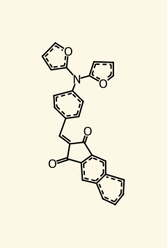 O=C1C(=Cc2ccc(N(c3ccco3)c3ccco3)cc2)C(=O)c2cc3ccccc3cc21